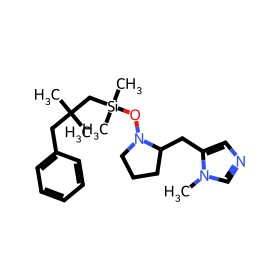 Cn1cncc1CC1CCCN1O[Si](C)(C)CC(C)(C)Cc1ccccc1